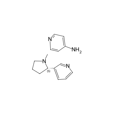 CN1CCC[C@H]1c1cccnc1.Nc1ccncc1